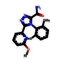 CCOc1cccc(-c2nnc(C(N)=O)n2-c2c(OC)cccc2OC)n1